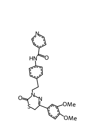 COc1ccc(C2=NN(CCc3ccc(NC(=O)c4ccncc4)cc3)C(=O)SC2)cc1OC